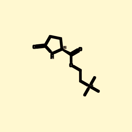 C[N+](C)(C)CCOC(=O)[C@@H]1CCC(=O)N1